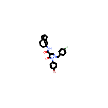 O=C(NC12CCCC3CC(CC3C1)C2)c1cn(Cc2ccc(Cl)cc2)n(-c2ccc(Br)cc2)c1=O